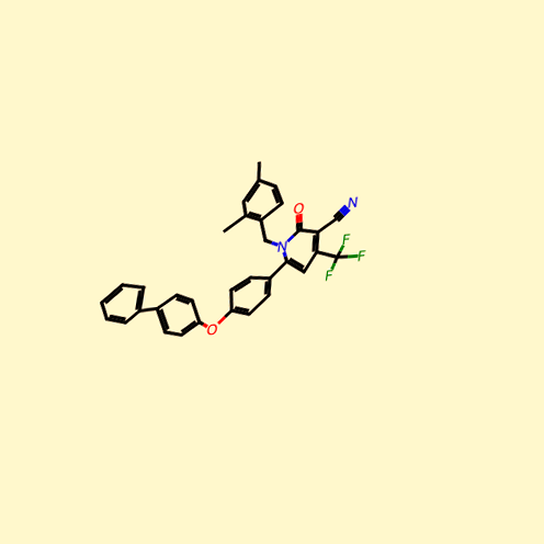 Cc1ccc(Cn2c(-c3ccc(Oc4ccc(-c5ccccc5)cc4)cc3)cc(C(F)(F)F)c(C#N)c2=O)c(C)c1